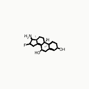 C[C@]12CC[C@@H]3C(=C1CC(F)C2N)C(O)CC1=CC(O)CC[C@@]13C